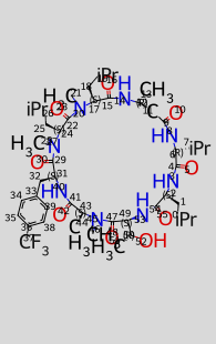 CC(C)C[C@@H]1NC(=O)[C@@H](C(C)C)NC(=O)C[C@@H](C)NC(=O)[C@H](CC(C)C)N(C)C(=O)[C@H](CC(C)C)N(C)C(=O)[C@H](Cc2ccc(C(F)(F)F)cc2)NC(=O)[C@H](C)N(C)C(=O)[C@H]([C@@H](C)O)NC1=O